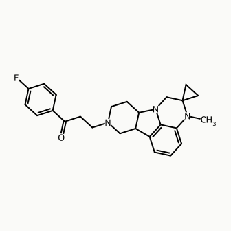 CN1c2cccc3c2N(CC12CC2)C1CCN(CCC(=O)c2ccc(F)cc2)CC31